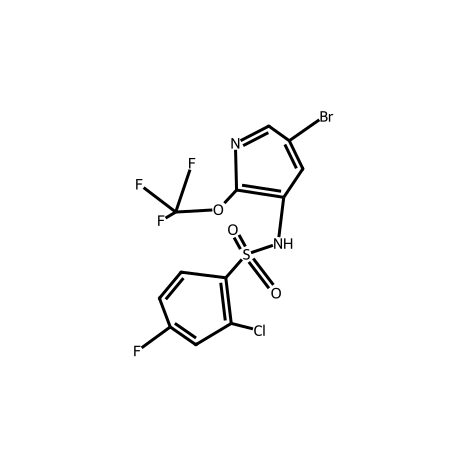 O=S(=O)(Nc1cc(Br)cnc1OC(F)(F)F)c1ccc(F)cc1Cl